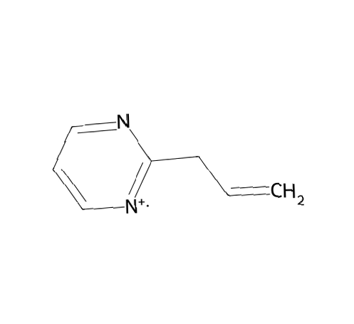 C=CCC1=[N+]C=CC=N1